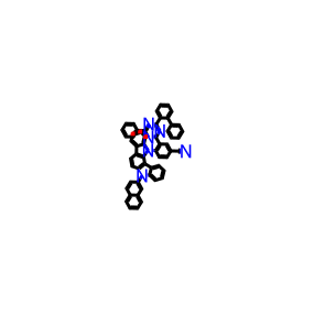 N#Cc1ccc(-n2c3ccccc3c3ccc4c(c5ccccc5n4-c4ccc5ccccc5c4)c32)c(-c2nc(-c3ccccc3)nc(-c3ccccc3-c3ccccc3)n2)c1